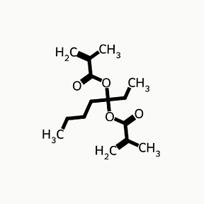 C=C(C)C(=O)OC(CC)(CCCC)OC(=O)C(=C)C